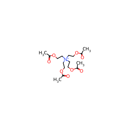 CC(=O)OCC[N+](CCOC(C)=O)(CCOC(C)=O)CCOC(C)=O